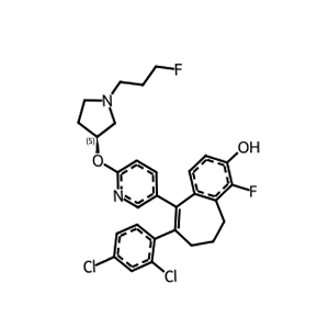 Oc1ccc2c(c1F)CCCC(c1ccc(Cl)cc1Cl)=C2c1ccc(O[C@H]2CCN(CCCF)C2)nc1